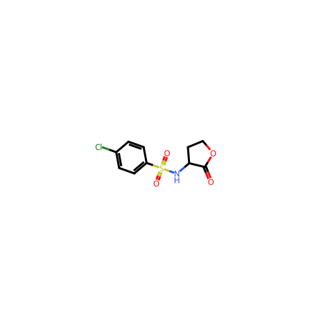 O=C1OCCC1NS(=O)(=O)c1ccc(Cl)cc1